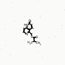 CC(C)C(=O)OCc1nccc2[nH]c(=O)ccc12